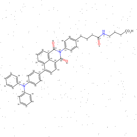 O=C(O)CCCNC(=O)CCCc1ccc(N2C(=O)c3cccc4c(-c5ccc(N(c6ccccc6)c6ccccc6)cc5)ccc(c34)C2=O)cc1